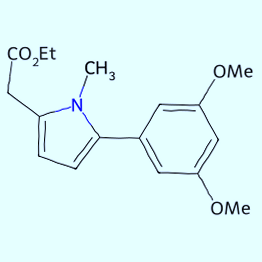 CCOC(=O)Cc1ccc(-c2cc(OC)cc(OC)c2)n1C